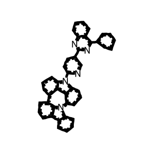 c1ccc(-c2nc(-c3ccc(-n4c5cccc6c7cccc8c9ccccc9n(c9cccc4c9c65)c78)nc3)nc3ccccc23)cc1